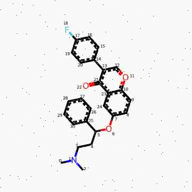 CN(C)CCC(Oc1ccc2occ(-c3ccc(F)cc3)c(=O)c2c1)c1ccccc1